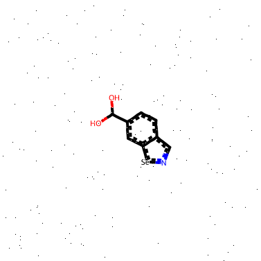 OC(O)c1ccc2cn[se]c2c1